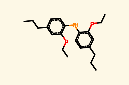 CCCc1ccc(Pc2ccc(CCC)cc2OCC)c(OCC)c1